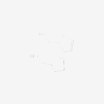 OCC1CCCO1.OCc1ccco1